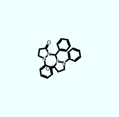 O=C1CCN(c2ccccc2)N1C(c1ccccc1)N1C(=O)CCN1c1ccccc1